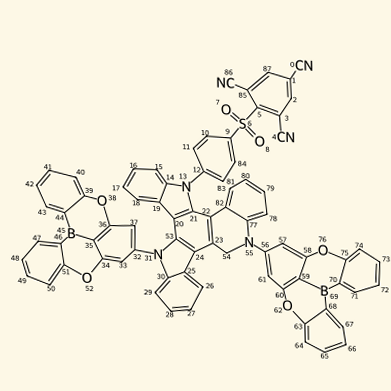 N#Cc1cc(C#N)c(S(=O)(=O)c2ccc(-n3c4ccccc4c4c3c3c(c5c6ccccc6n(-c6cc7c8c(c6)Oc6ccccc6B8c6ccccc6O7)c54)CN(c4cc5c6c(c4)Oc4ccccc4B6c4ccccc4O5)c4ccccc4-3)cc2)c(C#N)c1